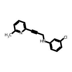 Cc1cccc(C#CCNc2cccc(Cl)c2)n1